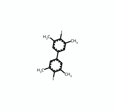 Cc1cc(-c2cc(C)c(I)c(C)c2)cc(C)c1I